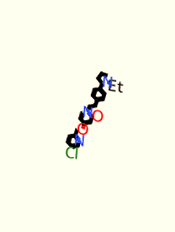 CCN1CCCC1c1ccc(CCn2ccc(OCc3ccc(Cl)cn3)cc2=O)cc1